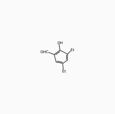 CCc1cc(C=O)c(O)c(CC)c1